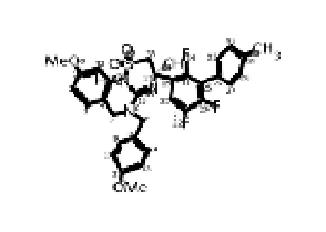 COc1ccc(CN(Cc2ccc(OC)cc2)C2=N[C@](C)(c3cc(F)c(F)c(-c4ccc(C)cc4)c3F)CS(=O)(=O)N2C)cc1